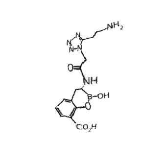 NCCc1nnnn1CC(=O)N[C@H]1Cc2cccc(C(=O)O)c2OB1O